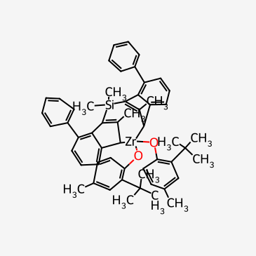 CC1=C2c3c(-c4ccccc4)cccc3[CH]1[Zr]([O]c1ccc(C)cc1C(C)(C)C)([O]c1ccc(C)cc1C(C)(C)C)[CH]1C(C)=C(c3c(-c4ccccc4)cccc31)[Si]2(C)C